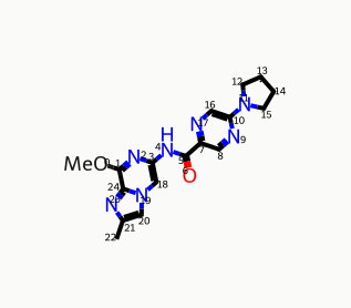 COc1nc(NC(=O)c2cnc(N3C[CH]CC3)cn2)cn2cc(C)nc12